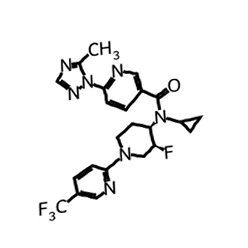 Cc1ncnn1-c1ccc(C(=O)N(C2CC2)[C@@H]2CCN(c3ccc(C(F)(F)F)cn3)C[C@@H]2F)cn1